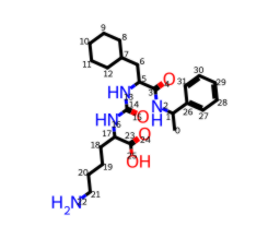 CC(NC(=O)C(CC1CCCCC1)NC(=O)NC(CCCCN)C(=O)O)c1ccccc1